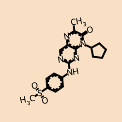 Cc1nc2cnc(Nc3ccc(S(C)(=O)=O)cc3)nc2n(C2CCCC2)c1=O